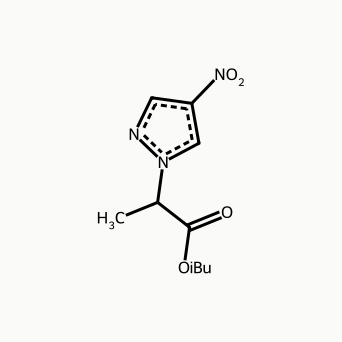 CC(C)COC(=O)C(C)n1cc([N+](=O)[O-])cn1